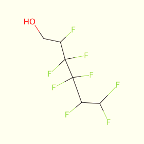 OCC(F)C(F)(F)C(F)(F)C(F)C(F)F